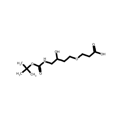 CC(C)(C)OC(=O)NCC(O)CCOCCC(=O)O